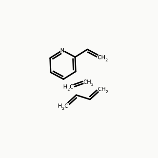 C=C.C=CC=C.C=Cc1ccccn1